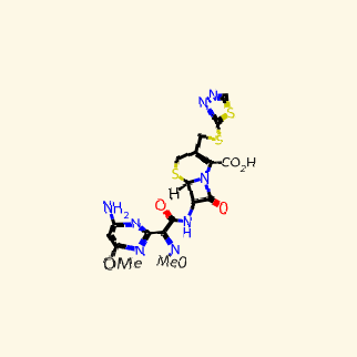 CON=C(C(=O)NC1C(=O)N2C(C(=O)O)=C(CSc3nncs3)CS[C@@H]12)c1nc(N)cc(OC)n1